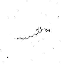 CCCCCCCCCCCCc1cc(CO)on1